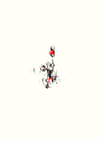 COC(=O)NC(C(=O)NC(Cc1ccc(C#Cc2ccc(N3CC4CCC(C3)N4C3COC3)nc2)cc1)C(O)CN(Cc1c(F)cc(-c2ncccn2)cc1F)NC(=O)C(NC(=O)O)C(C)(C)C(F)(F)F)C(C)(C)C(F)(F)F